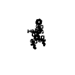 CCCC(C)C(=O)Oc1ccc(C(CC(C)OC(=O)OC2CCCCC2)[C@H](N)C(=O)O)cc1OC(=O)C(C)CCC